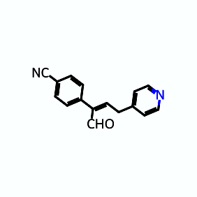 N#Cc1ccc(C(C=O)=CCc2ccncc2)cc1